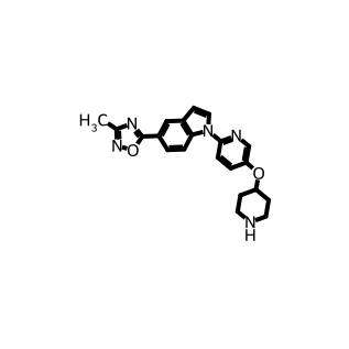 Cc1noc(-c2ccc3c(ccn3-c3ccc(OC4CCNCC4)cn3)c2)n1